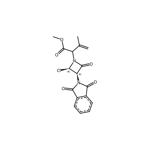 C=C(C)C(C(=O)OC)N1C(=O)[C@@H](N2C(=O)c3ccccc3C2=O)[C@H]1Cl